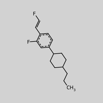 CCCC1CCC(c2ccc(/C=C/F)c(F)c2)CC1